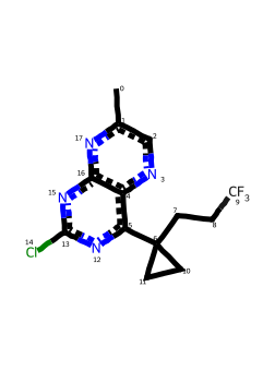 Cc1cnc2c(C3(CCC(F)(F)F)CC3)nc(Cl)nc2n1